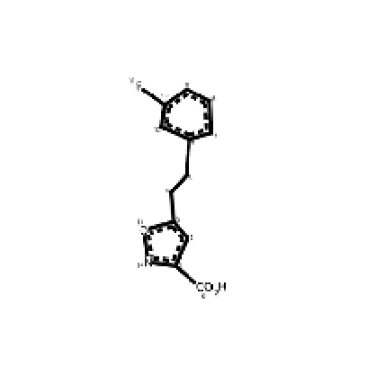 O=C(O)c1cc(CCc2cccc(F)c2)on1